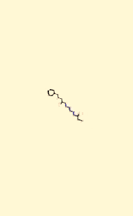 Cc1ccc(CCCC(O)/C=C/C=C/C=C/C(O)CCC(=O)O)cc1